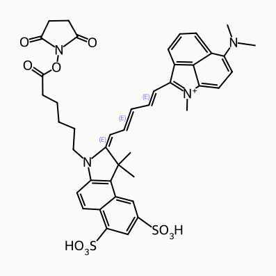 CN(C)c1ccc2c3c(cccc13)C(/C=C/C=C/C=C1/N(CCCCCC(=O)ON3C(=O)CCC3=O)c3ccc4c(S(=O)(=O)O)cc(S(=O)(=O)O)cc4c3C1(C)C)=[N+]2C